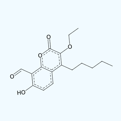 CCCCCc1c(OCC)c(=O)oc2c(C=O)c(O)ccc12